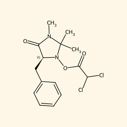 CN1C(=O)[C@H](Cc2ccccc2)N(OC(=O)C(Cl)Cl)C1(C)C